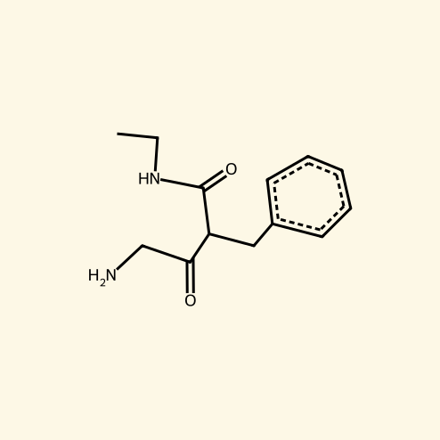 CCNC(=O)C(Cc1ccccc1)C(=O)CN